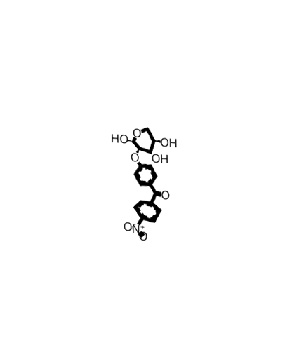 O=C(c1ccc(O[C@@H]2[C@@H](O)[C@H](O)CO[C@H]2O)cc1)c1ccc([N+](=O)[O-])cc1